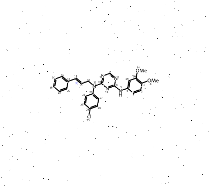 COc1ccc(Nc2ncnc(N(C/C=C/c3ccccc3)c3ccc(Cl)cc3)n2)cc1OC